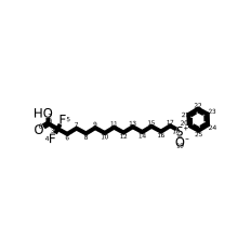 O=C(O)C(F)(F)CCCCCCCCCCCC[S+]([O-])c1ccccc1